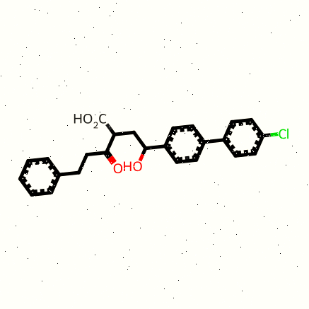 O=C(O)C(CC(O)c1ccc(-c2ccc(Cl)cc2)cc1)C(=O)CCc1ccccc1